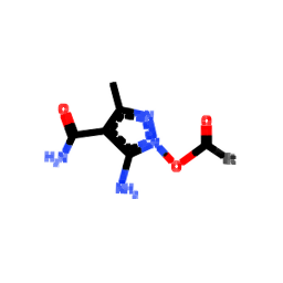 CCC(=O)On1nc(C)c(C(N)=O)c1N